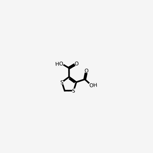 O=C(O)C1=C(C(=O)O)SCS1